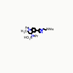 CNCCn1cc(-c2ccc3c(c2)[C@H](N(C(=O)O)C(C)C)C[C@H](C)N3C(C)=O)cn1